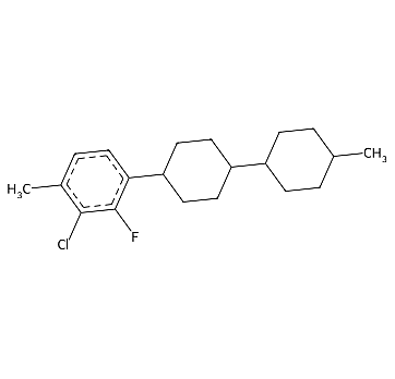 Cc1ccc(C2CCC(C3CCC(C)CC3)CC2)c(F)c1Cl